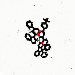 CC(C)(C)c1ccc(-c2ccc(N(c3ccc4c(c3)-c3ccccc3C4(c3ccccc3)c3ccccc3)c3ccc4ccccc4c3-c3cccc4c3sc3ccccc34)c(-c3ccccc3)c2)cc1